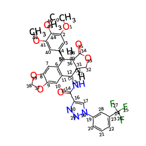 COc1cc([C@@H]2c3cc4c(cc3[C@@H](NC(=O)c3cn(-c5cccc(C(F)(F)F)c5)nn3)[C@H]3COC(=O)[C@H]23)OCO4)cc(OC)c1OC